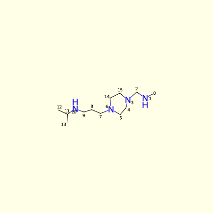 CNCN1CCN(CCCNC(C)C)CC1